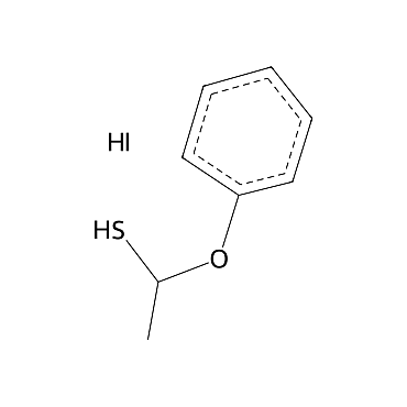 CC(S)Oc1ccccc1.I